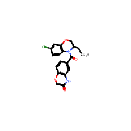 O=C(O)CC1COc2cc(Cl)ccc2N1C(=O)c1ccc2c(c1)NC(=O)CO2